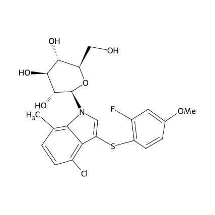 COc1ccc(Sc2cn([C@@H]3O[C@H](CO)[C@@H](O)[C@H](O)[C@H]3O)c3c(C)ccc(Cl)c23)c(F)c1